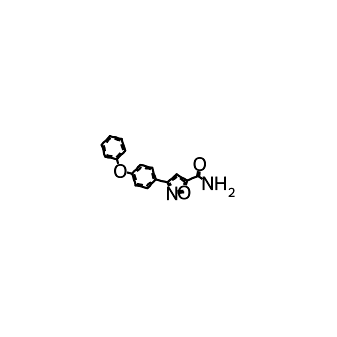 NC(=O)c1cc(-c2ccc(Oc3ccccc3)cc2)no1